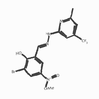 CO[N+](=O)c1cc(Br)c(O)c(/C=N/Nc2cc(C(F)(F)F)cc(C)n2)c1